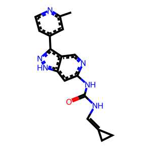 Cc1cc(-c2n[nH]c3cc(NC(=O)NC=C4CC4)ncc23)ccn1